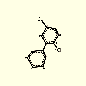 Clc1ccc(Cl)c(-c2ccccc2)c1